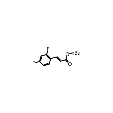 CCCCOC(=O)C=Cc1ccc(F)cc1F